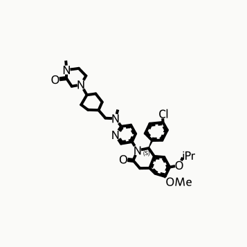 COc1cc2c(cc1OC(C)C)[C@H](c1ccc(Cl)cc1)N(c1ccc(N(C)CC3CCC(N4CCN(C)C(=O)C4)CC3)nc1)C(=O)C2